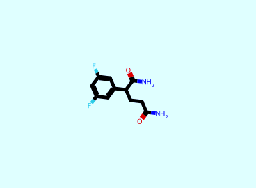 NC(=O)CCC(C(N)=O)c1cc(F)cc(F)c1